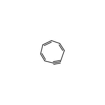 C1#C\C=C/C=C\C=C/1